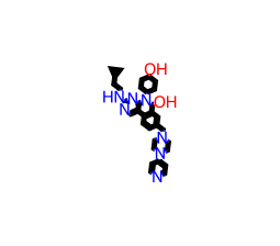 OC1CCC(N2c3nc(NCCC4CC4)ncc3-c3ccc(CN4CCN(c5ccncc5)CC4)cc3C2O)CC1